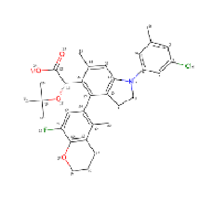 Cc1cc(Cl)cc(N2CCc3c2cc(C)c([C@H](OC(C)(C)C)C(=O)O)c3-c2cc(F)c3c(c2C)CCCO3)c1